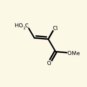 COC(=O)C(Cl)=CC(=O)O